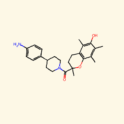 Cc1c(C)c2c(c(C)c1O)CCC(C)(C(=O)N1CCC(c3ccc(N)cc3)CC1)O2